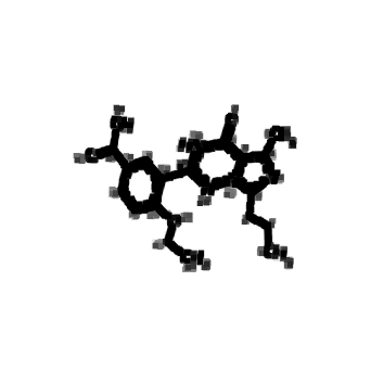 CCCc1nc(C)c2c(=O)[nH]c(-c3cc(C(=O)O)ccc3OCC)nn12